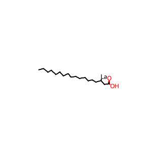 CCCCCCCCCCCCCCC[CH]([La])CC(=O)O